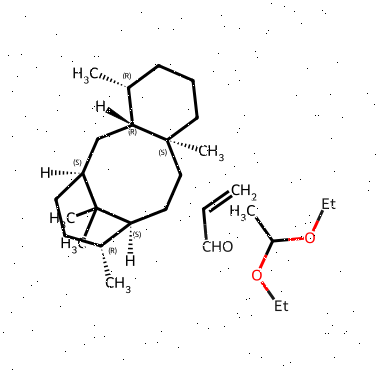 C=CC=O.CCOC(C)OCC.C[C@@H]1CCC[C@@]2(C)CC[C@H]3[C@H](C)CC[C@@H](C[C@H]12)C3(C)C